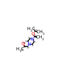 C=C(OC(C)C)N1CCN(CC(C)=O)CC1